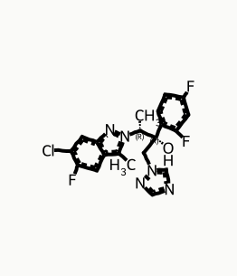 Cc1c2cc(F)c(Cl)cc2nn1[C@H](C)[C@](O)(Cn1cncn1)c1ccc(F)cc1F